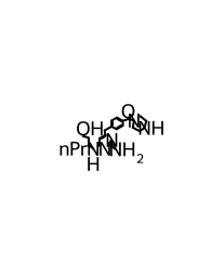 CCCC(CCO)Nc1cc(Cc2ccc(C(=O)N3CCNCC3)cc2)nc(N)n1